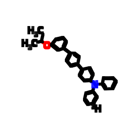 [3H]c1cccc(N(c2ccccc2)c2ccc(-c3ccc(-c4cccc(OC(C)CC)c4)cc3)cc2)c1